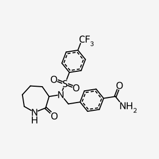 NC(=O)c1ccc(CN(C2CCCCNC2=O)S(=O)(=O)c2ccc(C(F)(F)F)cc2)cc1